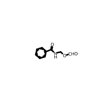 O=[C]OCNC(=O)c1ccccc1